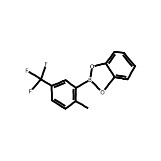 Cc1ccc(C(F)(F)F)cc1B1Oc2ccccc2O1